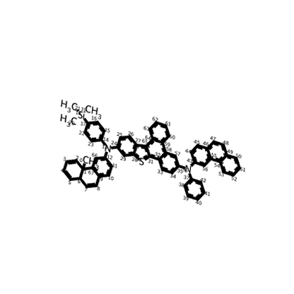 CC12C=CC=CC1C=Cc1ccc(N(c3ccc([Si](C)(C)C)cc3)c3ccc4c(c3)sc3c5ccc(N(c6ccccc6)c6ccc7ccc8ccccc8c7c6)cc5c5ccccc5c43)cc12